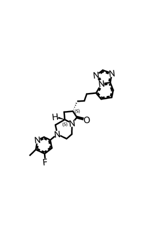 Cc1ncc(N2CCN3C(=O)[C@@H](CCCc4cccc5ncnn45)C[C@H]3C2)cc1F